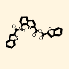 O=C(OC(=O)c1cc2ccccc2s1)c1ccc2cccc(NC(=O)c3cc4ccccc4s3)c2n1